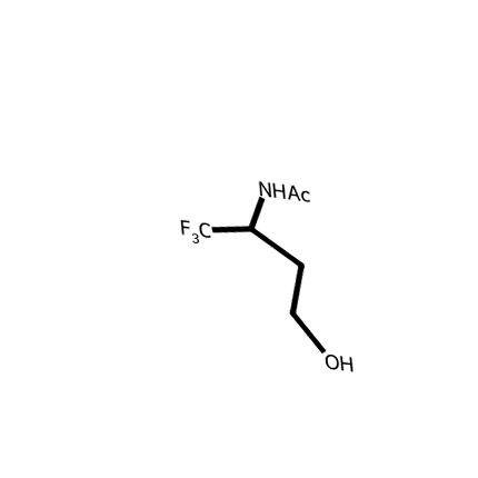 CC(=O)NC(CCO)C(F)(F)F